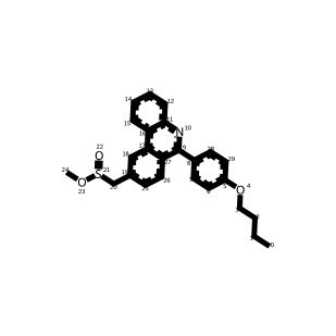 CCCCOc1ccc(-c2nc3ccccc3c3cc(CS(=O)OC)ccc23)cc1